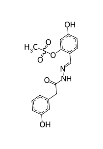 CS(=O)(=O)Oc1cc(O)ccc1/C=N/NC(=O)Cc1cccc(O)c1